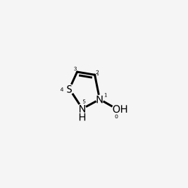 ON1[C]=CSN1